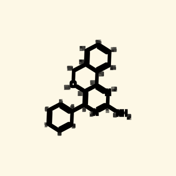 Nc1nc(-c2ccccc2)c2c(n1)-c1ccccc1CO2